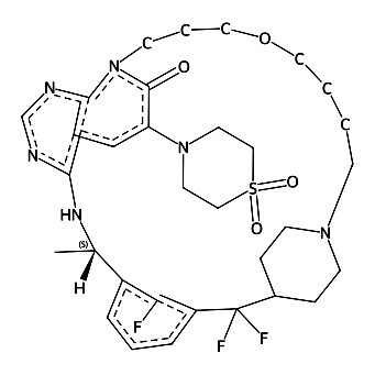 C[C@@H]1Nc2ncnc3c2cc(N2CCS(=O)(=O)CC2)c(=O)n3CCCOCCCCN2CCC(CC2)C(F)(F)c2cccc1c2F